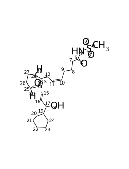 CS(=O)(=O)NC(=O)CCC/C=C\C[C@H]1[C@H](/C=C/C(O)C2CCCCC2)[C@@H]2CC[C@H]1O2